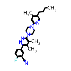 CCCCc1cnc(N2CCN(c3nnc(-c4ccc(F)c(C#N)c4)c(C)c3C)CC2)cc1C